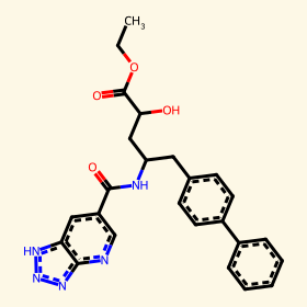 CCOC(=O)C(O)CC(Cc1ccc(-c2ccccc2)cc1)NC(=O)c1cnc2nn[nH]c2c1